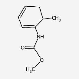 COC(=O)NC1=CC=CCC1C